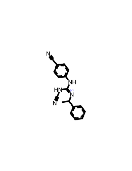 CC(/N=C(\NC#N)Nc1ccc(C#N)cc1)c1ccccc1